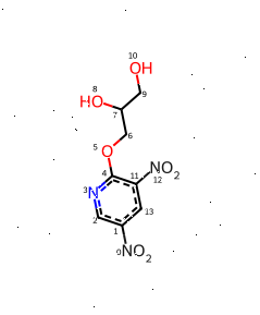 O=[N+]([O-])c1cnc(OCC(O)CO)c([N+](=O)[O-])c1